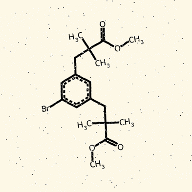 COC(=O)C(C)(C)Cc1cc(Br)cc(CC(C)(C)C(=O)OC)c1